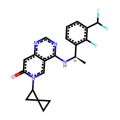 C[C@@H](Nc1ncnc2cc(=O)n(C3CC34CC4)cc12)c1cccc(C(F)F)c1F